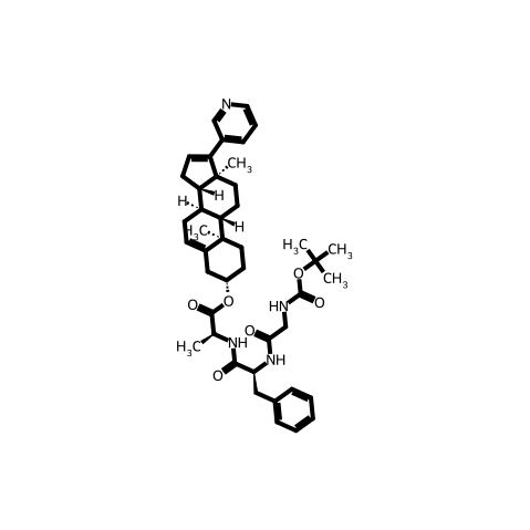 C[C@H](NC(=O)[C@H](Cc1ccccc1)NC(=O)CNC(=O)OC(C)(C)C)C(=O)O[C@H]1CC[C@@]2(C)C(=CC[C@@H]3[C@@H]2CC[C@]2(C)C(c4cccnc4)=CC[C@@H]32)C1